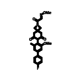 CO/N=C/C(=O)N1CC2(CC(=O)C(c3c(C)cc(-c4ccc(F)cc4)cc3OC)C(=O)C2)C1